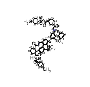 CC(C)c1ccccc1-c1c(/C=C/C(=O)N2CCCC(C(=O)NS(=O)(=O)N3CCN(C)CC3)C2)ccc(Sc2ccc(/C=C/C(=O)N3CCCC(C(=O)NS(=O)(=O)N4CCN(C)CC4)C3)c(-c3ccccc3C(C)C)c2[N+](=O)[O-])c1[N+](=O)[O-]